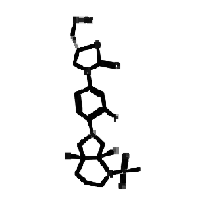 CC(=O)NC[C@H]1CN(c2ccc(N3C[C@H]4CCCN(S(C)(=O)=O)[C@H]4C3)c(F)c2)C(=O)O1